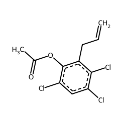 C=CCc1c(Cl)c(Cl)cc(Cl)c1OC(C)=O